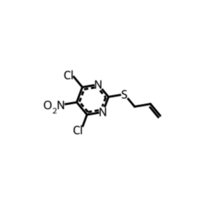 C=CCSc1nc(Cl)c([N+](=O)[O-])c(Cl)n1